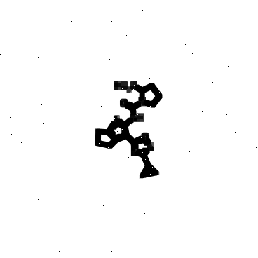 O=C(O)C1CCCN1C(=O)Nc1sc2c(c1-c1nc(C3CC3)no1)CCC2